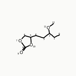 CCC(CCC1COC(=O)O1)OC